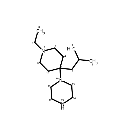 CCN1CCC(CC(C)C)(N2CCNCC2)CC1